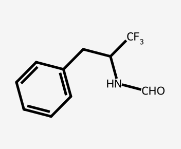 O=CNC(Cc1ccccc1)C(F)(F)F